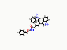 O=C(CCCC(c1c[nH]c2ccccc12)c1c[nH]c2ccccc12)NOCc1ccccc1